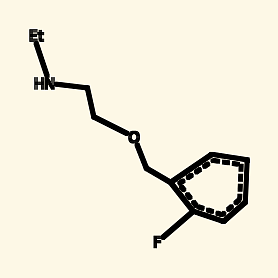 CCNCCOCc1ccccc1F